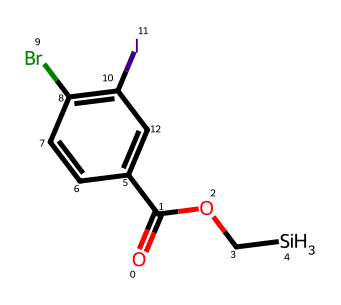 O=C(OC[SiH3])c1ccc(Br)c(I)c1